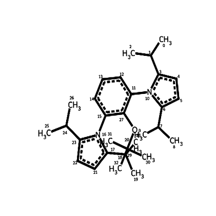 CC(C)c1ccc(C(C)C)n1-c1cccc(-n2c(C(C)C)ccc2C(C)C)c1OC(C)(C)C